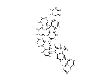 CC1(C)c2cc(-c3cccc4ccccc34)ccc2-c2ccc(N(c3ccc4c(c3)C(c3ccccc3)(c3ccccc3)c3cc(-c5ccccc5)ccc3-4)c3ccccc3-c3ccccc3)cc21